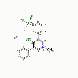 C[n+]1cc(-c2ccccc2)c(Cl)c(-c2cccc(C(F)(F)F)c2)c1.[I-]